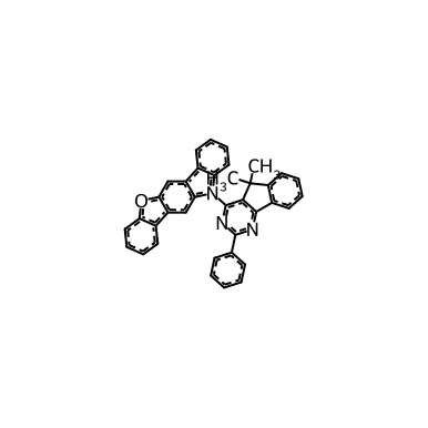 CC1(C)c2ccccc2-c2nc(-c3ccccc3)nc(-n3c4ccccc4c4cc5oc6ccccc6c5cc43)c21